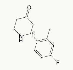 Cc1cc(F)ccc1[C@H]1CC(=O)CCN1